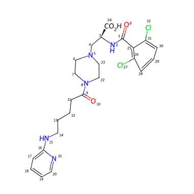 O=C(N[C@@H](CN1CCN(C(=O)CCCCNc2ccccn2)CC1)C(=O)O)c1c(Cl)cccc1Cl